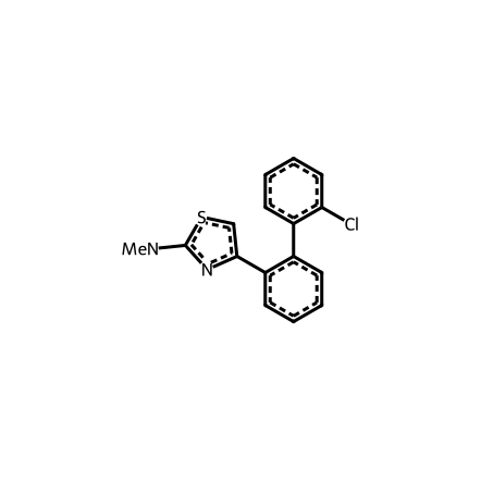 CNc1nc(-c2ccccc2-c2ccccc2Cl)cs1